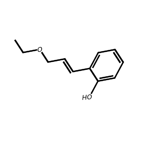 CCOCC=Cc1ccccc1O